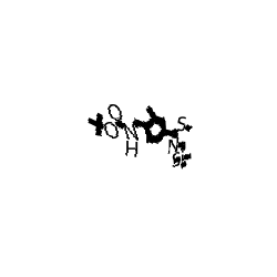 CS/C(=N\C[Si](C)(C)C)c1ccc(CNC(=O)OC(C)(C)C)c(C)c1